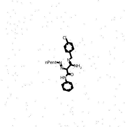 CCCCC/N=N/C(C(=O)Nc1ccccc1)/C(N)=N/Cc1ccc(Cl)cc1